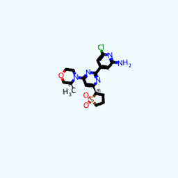 C[C@@H]1COCCN1c1cc([C@H]2CCCS2(=O)=O)nc(-c2cc(N)nc(Cl)c2)n1